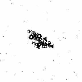 CN(C(C)(C)C)S(=O)(=O)CC1(NC(=O)N[C@H](C(=O)N2C[C@H]3[C@@H]([C@H]2C(=O)N[C@@H](CC2CC2)C(=O)C(=O)NC2CC2)C3(C)C)C2(C)CCCCC2)CCCCC1